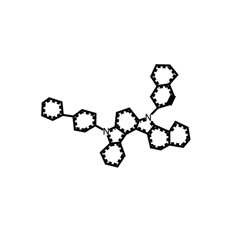 c1c(-n2c3ccc4c(c5ccccc5n4-c4ccc(-c5ccccc5)cc4)c3c3ccc4ccccc4c32)cc2ccccc2c#1